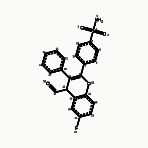 NS(=O)(=O)c1ccc(C2=C(c3ccccc3)C(C=O)c3cc(F)ccc3O2)cc1